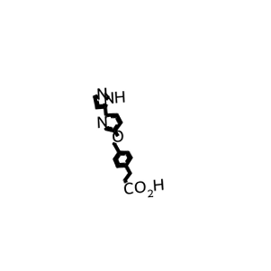 O=C(O)CCc1ccc(COc2ccc(-c3ccn[nH]3)nc2)cc1